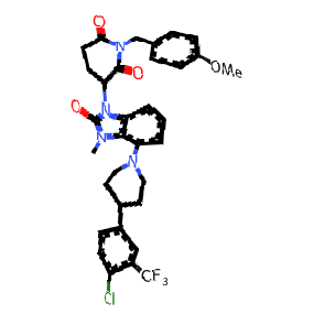 COc1ccc(CN2C(=O)CCC(n3c(=O)n(C)c4c(N5CCC(c6ccc(Cl)c(C(F)(F)F)c6)CC5)cccc43)C2=O)cc1